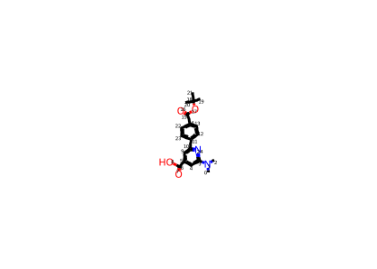 CN(C)c1cc(C(=O)O)cc(-c2ccc(C(=O)OC(C)(C)C)cc2)n1